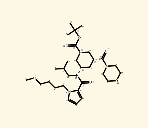 COCCCCn1cccc1C(=O)N(CC(C)C)[C@H]1C[C@@H](C(=O)N2CCOCC2)CN(C(=O)OC(C)(C)C)C1